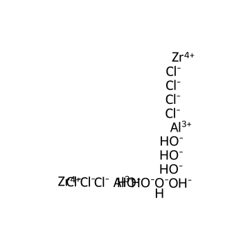 [Al+3].[Al+3].[Cl-].[Cl-].[Cl-].[Cl-].[Cl-].[Cl-].[Cl-].[OH-].[OH-].[OH-].[OH-].[OH-].[OH-].[OH-].[Zr+4].[Zr+4]